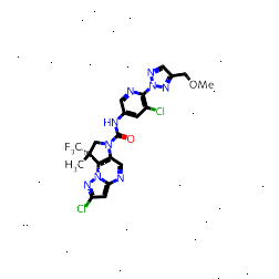 COCc1cnn(-c2ncc(NC(=O)N3C[C@@](C)(C(F)(F)F)c4c3cnc3cc(Cl)nn43)cc2Cl)n1